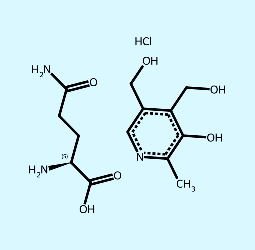 Cc1ncc(CO)c(CO)c1O.Cl.NC(=O)CC[C@H](N)C(=O)O